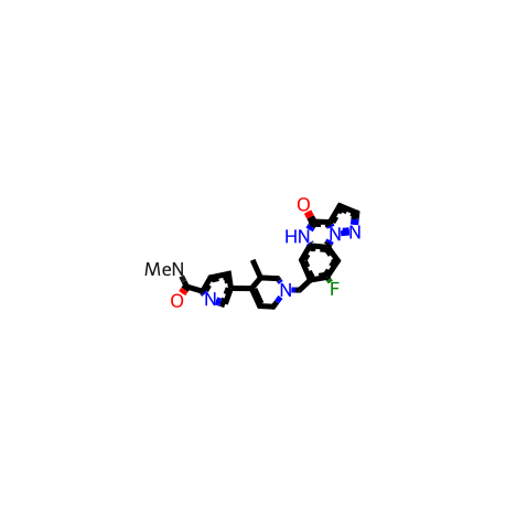 CNC(=O)c1ccc(C2=CCN(Cc3cc4[nH]c(=O)c5ccnn5c4cc3F)CC2C)cn1